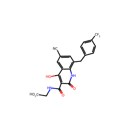 N#Cc1cc(Cc2ccc(C(F)(F)F)cc2)c2[nH]c(=O)c(C(=O)NCC(=O)O)c(O)c2c1